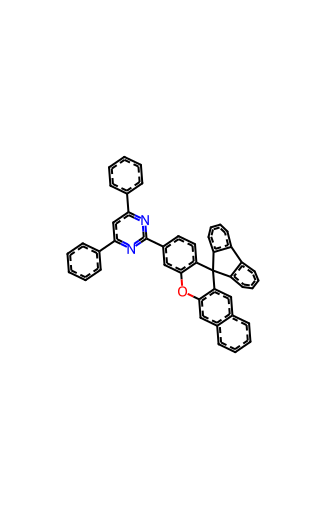 c1ccc(-c2cc(-c3ccccc3)nc(-c3ccc4c(c3)Oc3cc5ccccc5cc3C43c4ccccc4-c4ccccc43)n2)cc1